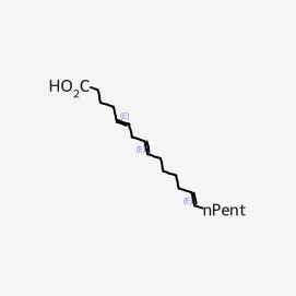 CCCCC/C=C/CCCC/C=C/C/C=C/CCCC(=O)O